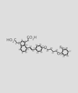 O=C(O)Cc1cn(CC(=O)O)c2cccc(/C=C/c3ccc(OCCCCOc4ccccc4F)cc3)c12